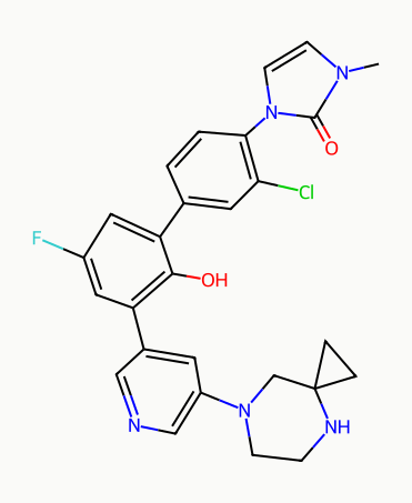 Cn1ccn(-c2ccc(-c3cc(F)cc(-c4cncc(N5CCNC6(CC6)C5)c4)c3O)cc2Cl)c1=O